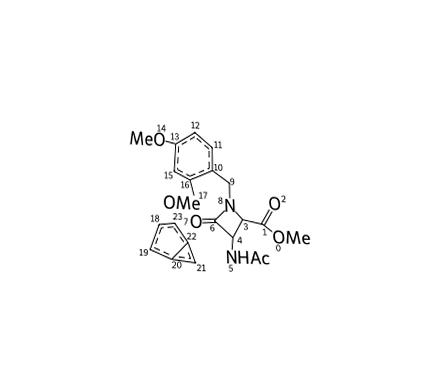 COC(=O)C1C(NC(C)=O)C(=O)N1Cc1ccc(OC)cc1OC.c1cc2cc-2c1